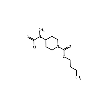 CCCCOC(=O)N1CCC(N(C)C(=O)Cl)CC1